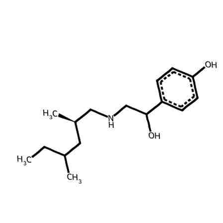 CCC(C)C[C@@H](C)CNCC(O)c1ccc(O)cc1